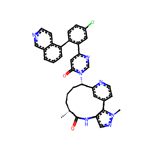 C[C@@H]1CCC[C@H](n2cnc(-c3cc(Cl)ccc3-c3cccc4cnccc34)cc2=O)c2cc(ccn2)-c2c(cnn2C)NC1=O